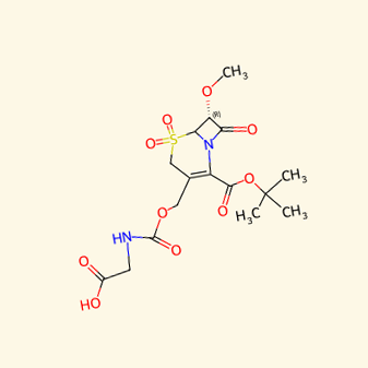 CO[C@@H]1C(=O)N2C(C(=O)OC(C)(C)C)=C(COC(=O)NCC(=O)O)CS(=O)(=O)C12